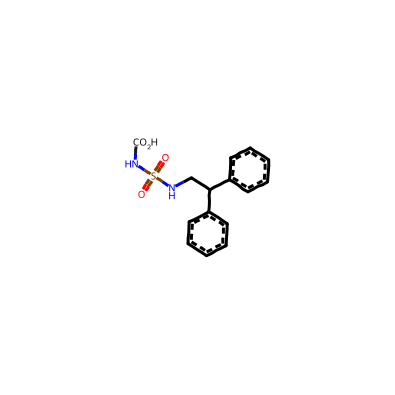 O=C(O)NS(=O)(=O)NCC(c1ccccc1)c1ccccc1